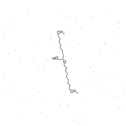 CCCCCCCCCCOC(CO)CCCCCCCCC